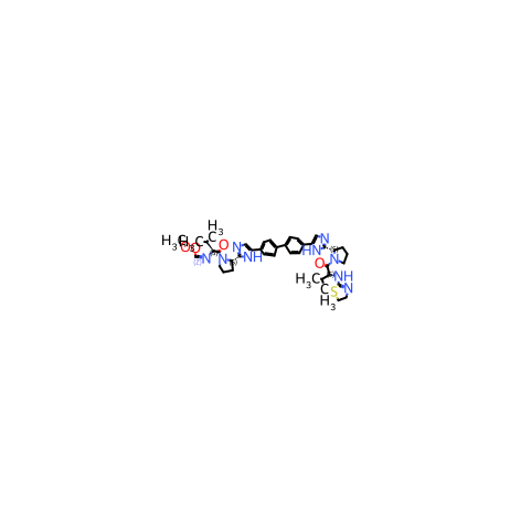 COO/C=N\[C@H](C(=O)N1CCC[C@H]1c1ncc(-c2ccc(-c3ccc(-c4cnc([C@@H]5CCCN5C(=O)[C@@H](NC5=NCCS5)C(C)C)[nH]4)cc3)cc2)[nH]1)C(C)C